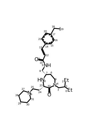 CCC(CC)CN1CC[C@@H](CNC(=O)/C=C/c2ccc(CI)cc2)N[C@@H](CCN2CCCCC2)C1=O